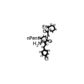 CCCCCC1CN(CC(=O)N2CCCCC2CC)C(=O)/C(=C/Cc2ccc(Cl)cc2)N1N